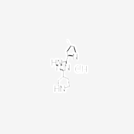 Cc1ccnc(-c2nc(C3CCNCC3)n[nH]2)c1.Cl